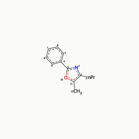 [CH2]CCc1nc(-c2ccccc2)oc1C